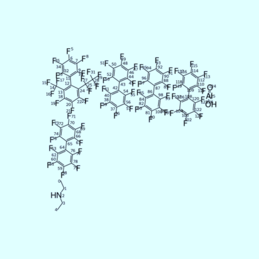 CCNCC.Fc1c(F)c(F)c(-c2c(C(F)(F)F)c(F)c(F)c(F)c2C(F)(F)C(F)(F)F)c(F)c1F.Fc1c(F)c(F)c(-c2c(F)c(F)c(F)c(F)c2F)c(F)c1F.Fc1c(F)c(F)c(-c2c(F)c(F)c(F)c(F)c2F)c(F)c1F.Fc1c(F)c(F)c(-c2c(F)c(F)c(F)c(F)c2F)c(F)c1F.Fc1c(F)c(F)c(-c2c(F)c(F)c(F)c(F)c2F)c(F)c1F.[O]=[Al][OH]